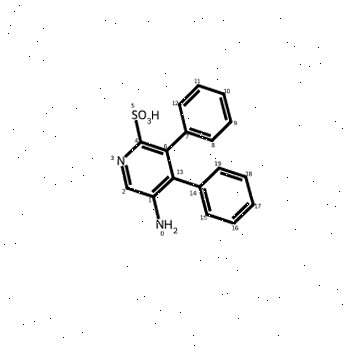 Nc1cnc(S(=O)(=O)O)c(-c2ccccc2)c1-c1ccccc1